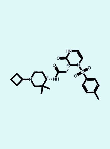 Cc1ccc(S(=O)(=O)N2C=CNC(=O)[C@H]2CC(=O)N[C@H]2CCN(C3CCC3)CC2(C)C)cc1